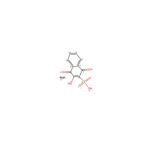 O=C1C(O)=C(S(=O)(=O)O)C(=O)c2ccccc21.[NaH]